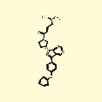 CN(C)C/C=C/C(=O)N1CC[C@@H](n2nc(-c3ccc(Oc4ccccc4)cc3)c3cncnc32)C1